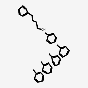 Cc1ccccc1.Cc1ccccc1.Cc1ccccc1.Cc1ccccc1.Cc1ccccc1.OCCCCc1ccccc1